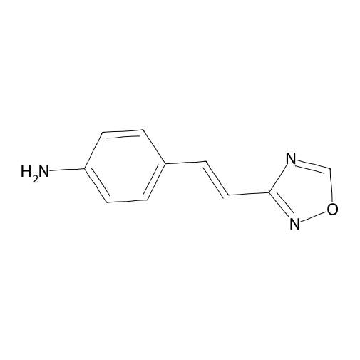 Nc1ccc(C=Cc2ncon2)cc1